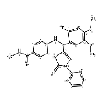 CNC(=N)c1ccc(NC(c2nn(-c3ncccn3)c(=O)[nH]2)c2cc(OC)c(OC)cc2F)cc1